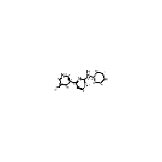 Fc1cncc(-c2ccnc(NC3CCCCC3)n2)c1